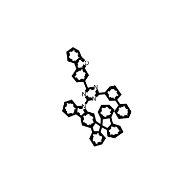 c1ccc(-c2cccc(-c3nc(-c4ccc5c(c4)oc4ccccc45)nc(-n4c5ccccc5c5cc6c(cc54)C4(c5ccccc5-c5ccccc54)c4ccccc4-6)n3)c2)cc1